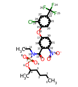 CCCCC(C)OS(=O)(=O)N(CC)C(=O)c1cc(Oc2ccc(C(F)(F)F)cc2Cl)ccc1[N+](=O)[O-]